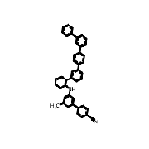 CC1C=C(NC2=C(c3cccc(-c4ccc(-c5cccc(-c6ccccc6)c5)cc4)c3)C=CCC2)C=C(c2ccc(C#N)cc2)C1